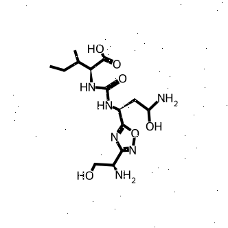 CCC(C)[C@H](NC(=O)N[C@@H](CC(N)O)c1nc([C@@H](N)CO)no1)C(=O)O